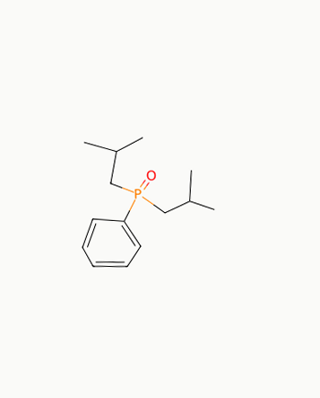 CC(C)CP(=O)(CC(C)C)c1ccccc1